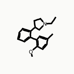 CCN1CCC(c2ccccc2-c2cc(C)ccc2OC)C1